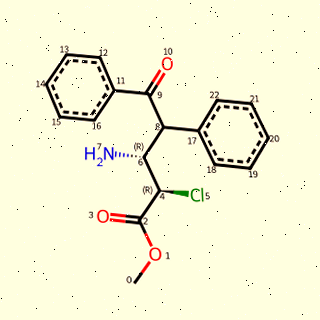 COC(=O)[C@H](Cl)[C@H](N)C(C(=O)c1ccccc1)c1ccccc1